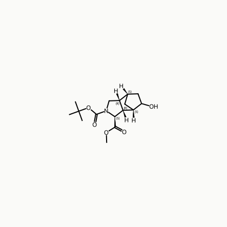 COC(=O)[C@@H]1[C@@H]2[C@H](CN1C(=O)OC(C)(C)C)[C@@H]1CC(O)[C@H]2C1